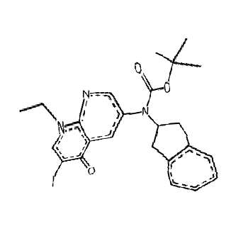 CCn1cc(I)c(=O)c2cc(N(C(=O)OC(C)(C)C)C3Cc4ccccc4C3)cnc21